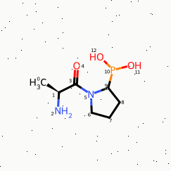 C[C@H](N)C(=O)N1CCCC1P(O)O